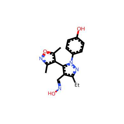 CCc1nn(-c2ccc(O)cc2)c(-c2c(C)noc2C)c1C=NO